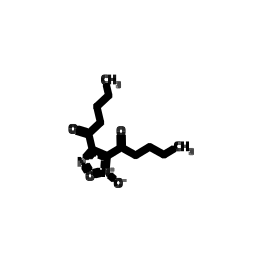 CCCCC(=O)c1no[n+]([O-])c1C(=O)CCCC